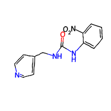 O=C(NCc1ccncc1)Nc1ccccc1[N+](=O)[O-]